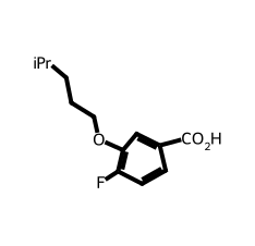 CC(C)CCCOc1cc(C(=O)O)ccc1F